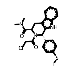 CN(C)C(=O)[C@H]1Cc2c([nH]c3ccccc23)[C@H](c2ccc(SI)cc2)N1C(=O)CCl